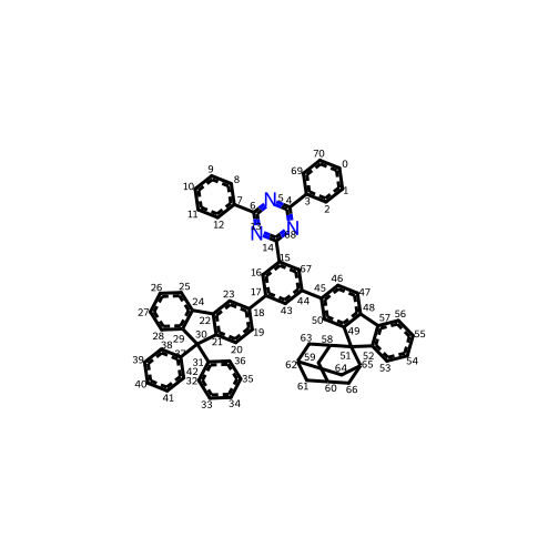 c1ccc(-c2nc(-c3ccccc3)nc(-c3cc(-c4ccc5c(c4)-c4ccccc4C5(c4ccccc4)c4ccccc4)cc(-c4ccc5c(c4)C4(c6ccccc6-5)C5CC6CC(C5)CC4C6)c3)n2)cc1